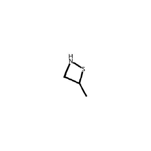 CC1CNS1